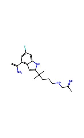 C=C(N)c1cc(F)cc2[nH]c(C(C)(C)CCCNCC(C)=N)cc12